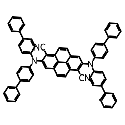 N#Cc1c(N(c2ccc(-c3ccccc3)cc2)c2ccc(-c3ccccc3)cc2)cc2ccc3c(C#N)c(N(c4ccc(-c5ccccc5)cc4)c4ccc(-c5ccccc5)cc4)cc4ccc1c2c43